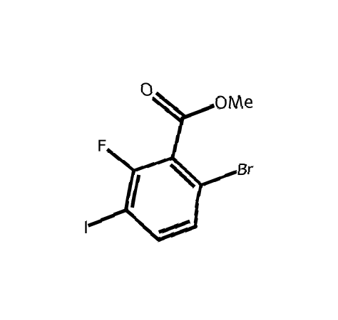 COC(=O)c1c(Br)ccc(I)c1F